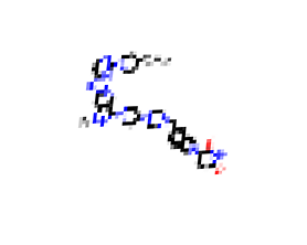 COC1CCN(c2nccc(Nc3cc4c(cn3)c(N3CCC(N5CCN(Cc6ccc7cn(C8CCC(=O)NC8=O)cc7c6)CC5)CC3)nn4C(C)C)n2)CC1